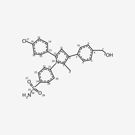 Cc1c(-c2ccc(CO)cc2)cc(-c2ccc(Cl)cc2)n1-c1ccc(S(N)(=O)=O)cc1